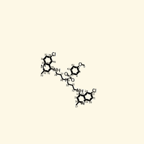 COc1ccc(S(=O)(=O)N(CCCNc2cc(C)nc3ccc(Cl)cc23)CCCNc2cc(C)nc3ccc(Cl)cc23)cc1